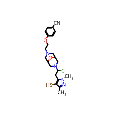 Cc1nn(C)c(CC(Cl)N2CC3CN(CCOc4ccc(C#N)cc4)CC(C2)O3)c1S